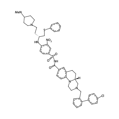 CNC1CCN(CC[C@H](CSc2ccccc2)Nc2ccc(S(=O)(=O)NC(=O)c3ccc4c(c3)CC[C@@H]3CN(Cc5ccccc5-c5ccc(Cl)cc5)CCN43)cc2[N+](=O)[O-])CC1